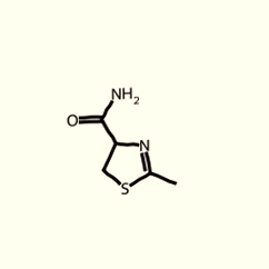 CC1=NC(C(N)=O)CS1